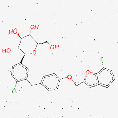 OC[C@H]1O[C@@H](c2ccc(Cl)c(Cc3ccc(OCc4cc5cccc(F)c5o4)cc3)c2)[C@H](O)[C@@H](O)[C@@H]1O